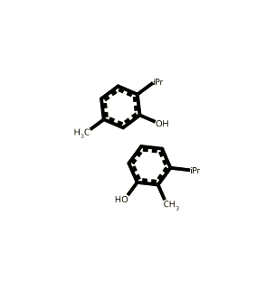 Cc1c(O)cccc1C(C)C.Cc1ccc(C(C)C)c(O)c1